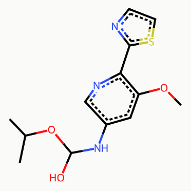 COc1cc(NC(O)OC(C)C)cnc1-c1nccs1